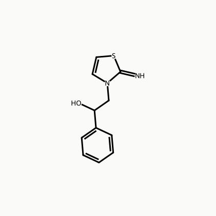 N=c1sccn1CC(O)c1ccccc1